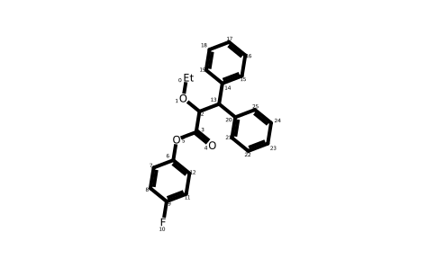 CCOC(C(=O)Oc1ccc(F)cc1)C(c1ccccc1)c1ccccc1